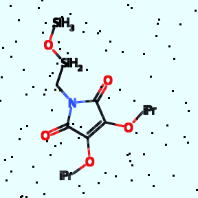 CC(C)OC1=C(OC(C)C)C(=O)N(C[SiH2]O[SiH3])C1=O